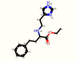 CCOC(=O)C(CCc1ccccc1)NCCc1c[nH]cn1